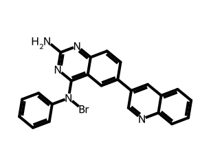 Nc1nc(N(Br)c2ccccc2)c2cc(-c3cnc4ccccc4c3)ccc2n1